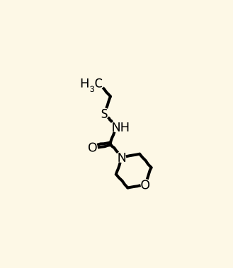 CCSNC(=O)N1CCOCC1